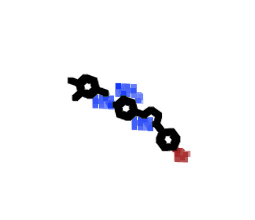 Cc1ccc(CNc2ccc(C3CCC(c4ccc(Br)cc4)N3)cc2N)cc1C